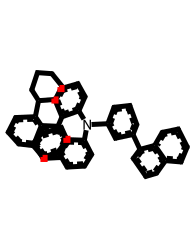 c1cc(-c2cccc3ccccc23)cc(N(c2ccccc2-c2cccc3cccc(C4CCCCC4)c23)c2cccc3ccccc23)c1